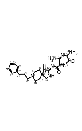 NC1=NC(N)C(Cl)N=C1C(=O)/N=C1\NCC2(CCN(CCCc3ccccc3)CC2)N1